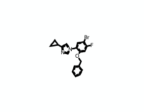 Fc1cc(OCc2ccccc2)c(-n2cnc(C3CC3)c2)cc1Br